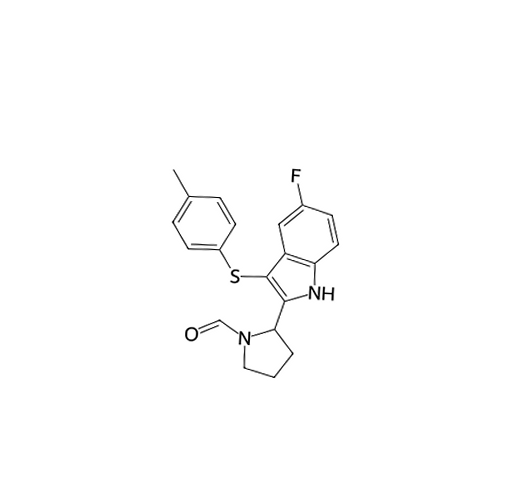 Cc1ccc(Sc2c(C3CCCN3C=O)[nH]c3ccc(F)cc23)cc1